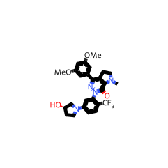 COc1cc(OC)cc(-c2nn(-c3cc(N4CC[C@H](O)C4)ccc3C(F)(F)F)c(=O)c3c2CCN3C)c1